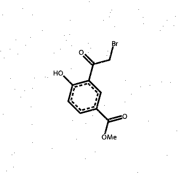 COC(=O)c1ccc(O)c(C(=O)CBr)c1